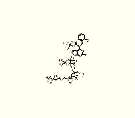 CCC(Cc1nnnn1COCC[Si](C)(C)C)(OC[C@H]1O[C@@H](n2ncc3c(N(Cc4ccccc4Cl)C(=O)OC(C)(C)C)nc(Cl)nc32)[C@@H]2OC(C)(C)O[C@@H]21)P(C)(C)=O